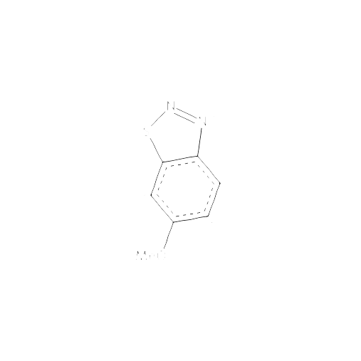 COc1ccc2c(c1)S[N+]=N2